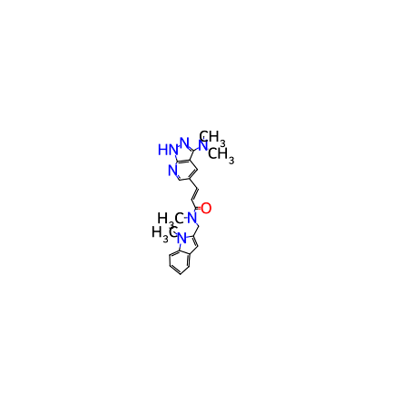 CN(Cc1cc2ccccc2n1C)C(=O)C=Cc1cnc2[nH]nc(N(C)C)c2c1